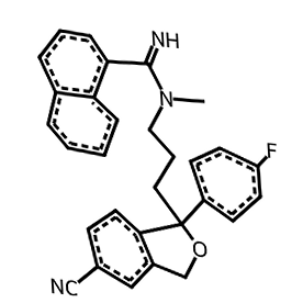 CN(CCCC1(c2ccc(F)cc2)OCc2cc(C#N)ccc21)C(=N)c1cccc2ccccc12